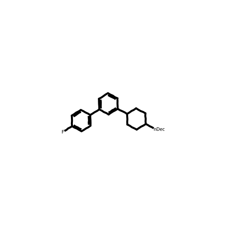 CCCCCCCCCCC1CCC(c2[c]ccc(-c3ccc(F)cc3)c2)CC1